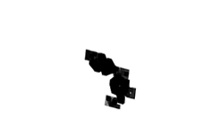 N#CCc1ccc(NC2CC3(CCNC3)C2)cc1Cl